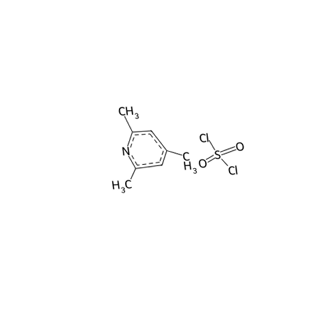 Cc1cc(C)nc(C)c1.O=S(=O)(Cl)Cl